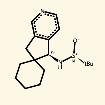 CC(C)(C)[S@@+]([O-])N[C@@H]1c2ccncc2CC12CCCCC2